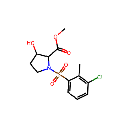 COC(=O)C1C(O)CCN1S(=O)(=O)c1cccc(Cl)c1C